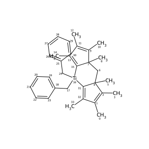 CC1=C(C)C2(C)CC3(C)C(C)=C(C)C(C)=[C]3[Ti]([CH2]c3ccccc3)([CH2]c3ccccc3)[C]2=C1C